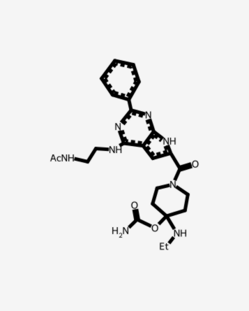 CCNC1(OC(N)=O)CCN(C(=O)c2cc3c(NCCNC(C)=O)nc(-c4ccccc4)nc3[nH]2)CC1